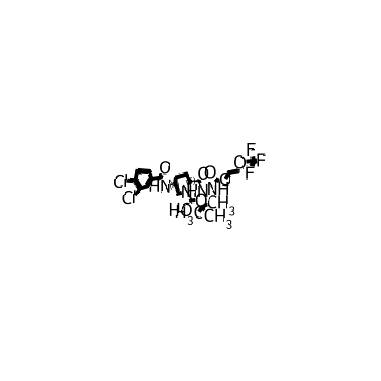 CC(C)(C)OC(O)N1C[C@H](NC(=O)c2ccc(Cl)c(Cl)c2)CC[C@H]1C(=O)NNC(=O)OCCOC(F)(F)F